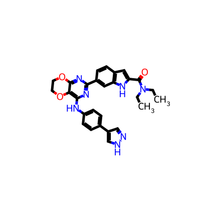 CCN(CC)C(=O)c1cc2ccc(-c3nc(Nc4ccc(-c5cn[nH]c5)cc4)c4c(n3)OCCO4)cc2[nH]1